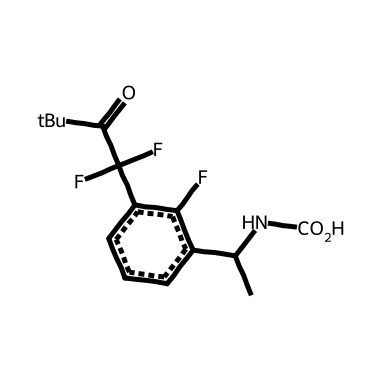 CC(NC(=O)O)c1cccc(C(F)(F)C(=O)C(C)(C)C)c1F